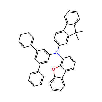 CC1(C)c2ccccc2-c2ccc(N(c3cc(C4=CCCC=C4)cc(-c4ccccc4)c3)c3cccc4c3oc3ccccc34)cc21